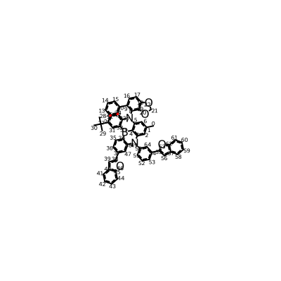 Cc1cc2c3c(c1)N(c1c(-c4ccccc4)ccc4c1OCO4)c1ccc(C(C)(C)C)cc1B3c1ccc(-c3cc4ccccc4o3)cc1N2c1cccc(-c2cc3ccccc3o2)c1